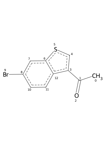 CC(=O)c1csc2cc(Br)ccc12